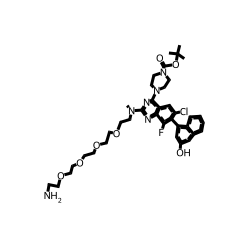 CN(CCOCCOCCOCCOCCN)c1nc(N2CCN(C(=O)OC(C)(C)C)CC2)c2cc(Cl)c(-c3cc(O)cc4ccccc34)c(F)c2n1